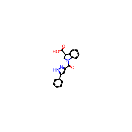 O=C(O)C1CN(C(=O)c2cc(-c3ccccc3)[nH]n2)c2ccccc21